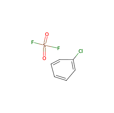 Clc1ccccc1.O=S(=O)(F)F